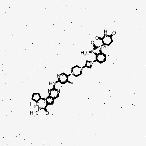 CN(C)C(=O)c1cc2cnc(Nc3cc(F)c(N4CCN(C5CN(c6cccc7c6n(C)c(=O)n7[C@@H]6CCC(=O)NC6=O)C5)CC4)cn3)nc2n1C1CCCC1